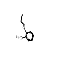 CCCOc1ccc[c]c1O